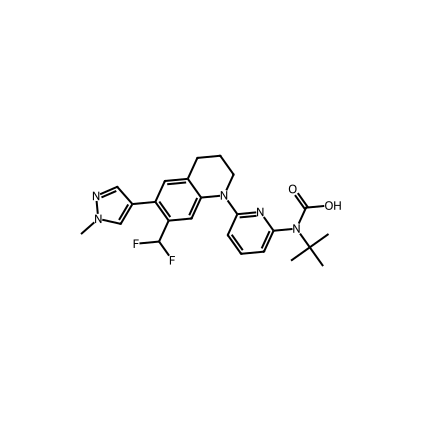 Cn1cc(-c2cc3c(cc2C(F)F)N(c2cccc(N(C(=O)O)C(C)(C)C)n2)CCC3)cn1